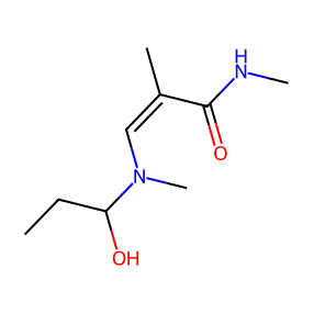 CCC(O)N(C)C=C(C)C(=O)NC